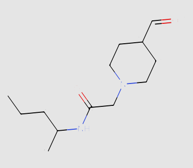 CCCC(C)NC(=O)CN1CCC(C=O)CC1